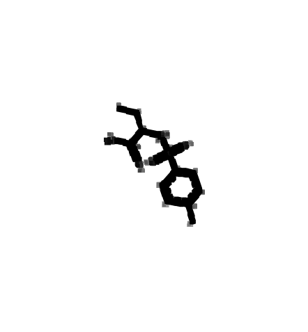 CC[C@@H](NS(=O)(=O)c1ccc(C)cc1)C(=O)O